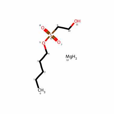 CCCCCOS(=O)(=O)CCO.[MgH2]